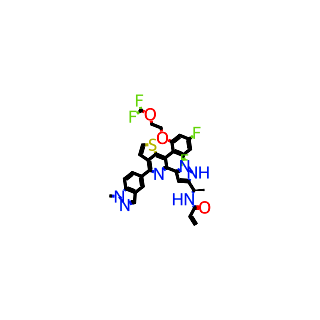 C=CC(=O)N[C@H](C)c1cc(-c2nc(-c3ccc4c(cnn4C)c3)c3ccsc3c2-c2c(F)cc(F)cc2OCCOC(F)F)n[nH]1